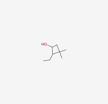 CCC1C(O)CC1(C)C